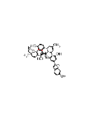 CC1=CC(c2c(O)cc(-c3cc4ccc(O)cc4o3)cc2O)C(C(=O)c2ccc3c(c2O)C=CC(C)(C)O3)C(c2ccc(O)cc2O)C1